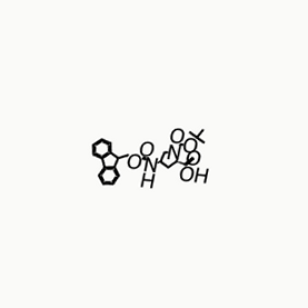 CC(C)(C)OC(=O)N1C[C@H](NC(=O)OCC2c3ccccc3-c3ccccc32)C[C@@H]1C(=O)O